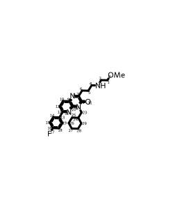 COCCNCCCc1nc2ccc(-c3ccc(F)cc3)nc2n(CC2CCCCC2)c1=O